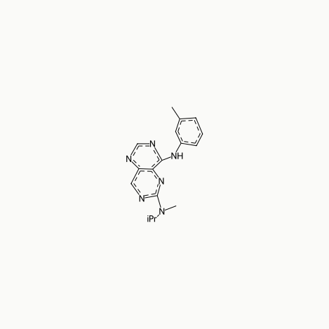 Cc1cccc(Nc2ncnc3cnc(N(C)C(C)C)nc23)c1